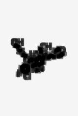 C=CC(=O)Nc1cc2c(N(C(=O)OCCSSCCO)c3ccc(F)c(Cl)c3)ncnc2cc1OCCCN1CCOCC1